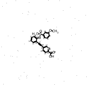 COc1cccc(S(C)(=O)=Nc2ccccc2C#Cc2ccc(C(=O)O)nc2)c1